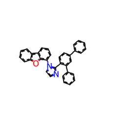 c1ccc(-c2ccc(-c3nccn3-c3cccc4c3oc3ccccc34)c(-c3ccccc3)c2)cc1